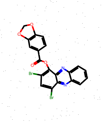 O=C(Oc1c(Br)cc(Br)c2nc3ccccc3nc12)c1ccc2c(c1)OCO2